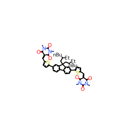 CCCCC(CC)CC1(CC(CC)CCCC)c2cc(-c3ccc(C=C4C(=O)N(C)C(=O)N(C)C4=O)s3)ccc2-c2ccc(-c3ccc(C=C4C(=O)N(C)C(=O)N(C)C4=O)s3)cc21